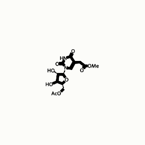 COC(=O)Cc1cn([C@@H]2O[C@H](COC(C)=O)C(O)[C@@H]2O)c(=O)[nH]c1=O